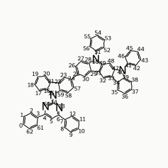 c1ccc(-c2cc(-c3ccccc3)nc(-n3c4ccccc4c4cc(-c5ccc6c(c5)c5cc7c8ccccc8n(-c8ccccc8)c7cc5n6-c5ccccc5)ccc43)n2)cc1